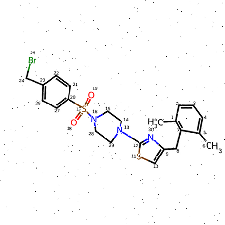 Cc1cccc(C)c1Cc1csc(N2CCN(S(=O)(=O)c3ccc(CBr)cc3)CC2)n1